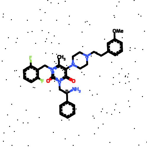 COc1cccc(CCN2CCN(c3c(C)n(Cc4c(F)cccc4F)c(=O)n(C[C@@H](N)c4ccccc4)c3=O)CC2)c1